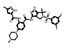 Cc1cc(C(=O)Nc2cc(N3CCN(C)CC3)ccc2C(=O)Nc2n[nH]c3c2CN(S(=O)(=O)c2cc(F)cc(F)c2)C3(C)C)[nH]n1